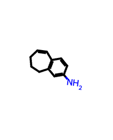 Nc1ccc2c(c1)CCCC=C2